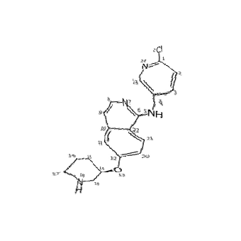 Clc1ccc(Nc2nccc3cc(O[C@@H]4CCCNC4)ccc23)cn1